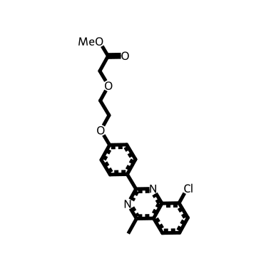 COC(=O)COCCOc1ccc(-c2nc(C)c3cccc(Cl)c3n2)cc1